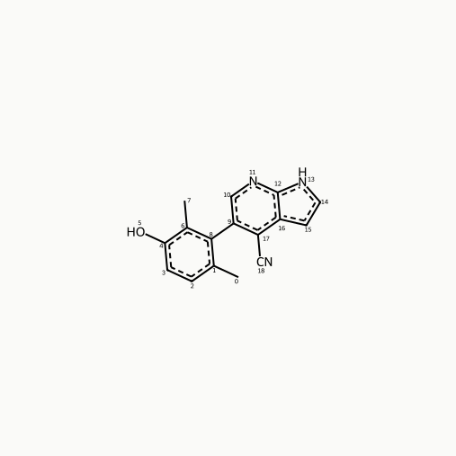 Cc1ccc(O)c(C)c1-c1cnc2[nH]ccc2c1C#N